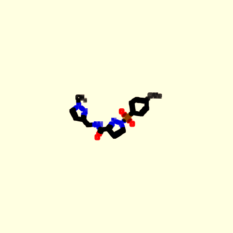 COc1ccc(S(=O)(=O)n2ccc(C(=O)NCc3ccn(C)n3)n2)cc1